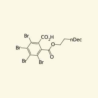 CCCCCCCCCCCCOC(=O)c1c(Br)c(Br)c(Br)c(Br)c1C(=O)O